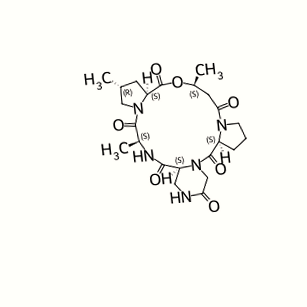 C[C@@H]1C[C@H]2C(=O)O[C@@H](C)CC(=O)N3CCC[C@H]3C(=O)N3CC(=O)NC[C@H]3C(=O)N[C@@H](C)C(=O)N2C1